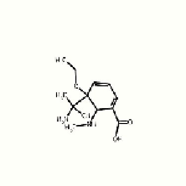 CCOC1(C(C)(C)N)C=CC=C(C(=O)O)C1NC